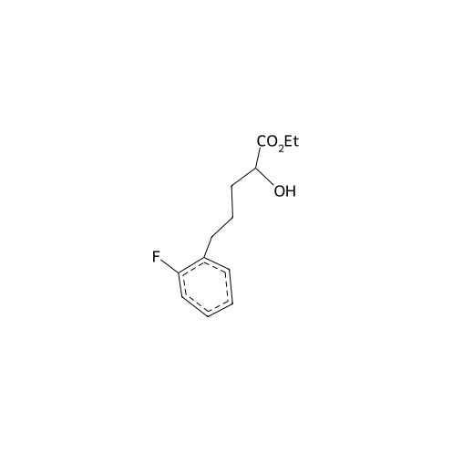 CCOC(=O)C(O)CCCc1ccccc1F